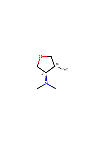 CC[C@H]1COC[C@@H]1N(C)C